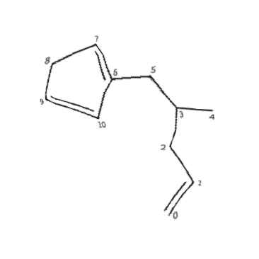 C=CCC(C)CC1=CCC=C1